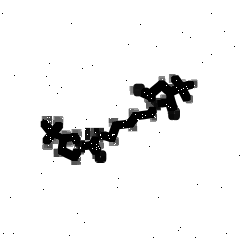 CC(C)(C)C1CC(=O)N(CCCCCNC(=O)N2CC[C@@H](C(C)(C)C)C2)C1=O